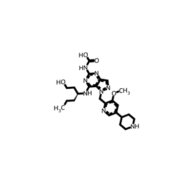 CCC[C@@H](CCO)Nc1nc(NC(=O)O)nc2cnn(Cc3ncc(C4CCNCC4)cc3OC)c12